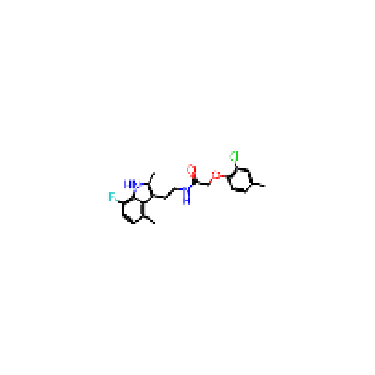 Cc1ccc(OCC(=O)NCCc2c(C)[nH]c3c(F)ccc(C)c23)c(Cl)c1